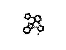 F[C@H]1CCN(c2nccc(C3=CCCC3)c2-c2nc3ccccc3[nH]2)C1